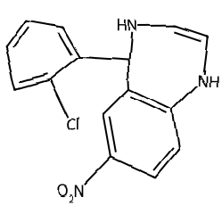 O=[N+]([O-])c1ccc2c(c1)C(c1ccccc1Cl)NC=CN2